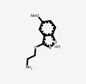 COc1ccc2onc(OCCN)c2c1.Cl